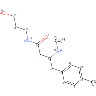 N#Cc1ccc(CC(CC(=O)NCCCO)NC(=O)O)cc1